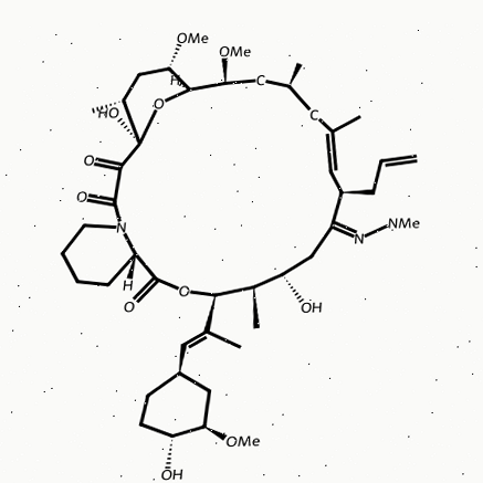 C=CC[C@@H]1/C=C(\C)C[C@H](C)C[C@H](OC)[C@H]2O[C@@](O)(C(=O)C(=O)N3CCCC[C@H]3C(=O)O[C@H](/C(C)=C/[C@@H]3CC[C@@H](O)[C@H](OC)C3)[C@H](C)[C@@H](O)C/C1=N/NC)[C@H](C)C[C@@H]2OC